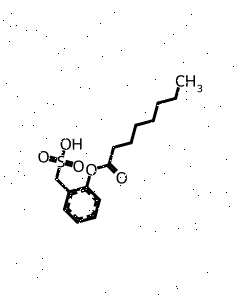 CCCCCCCC(=O)Oc1ccccc1CS(=O)(=O)O